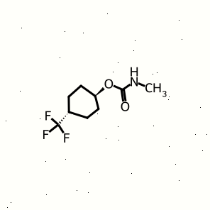 CNC(=O)O[C@H]1CC[C@H](C(F)(F)F)CC1